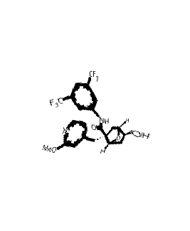 COc1cc(C[C@]2(C(=O)Nc3cc(C(F)(F)F)cc(C(F)(F)F)c3)C[C@H]3O[C@@H]2C[C@@H]3O)ccn1